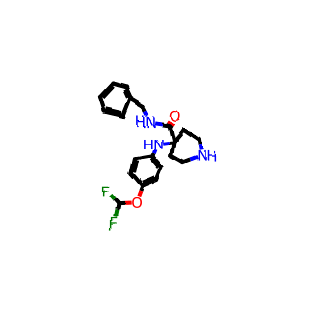 O=C(NCc1ccccc1)C1(Nc2ccc(OC(F)F)cc2)CCNCC1